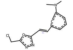 CN(C)c1cccc(/C=C/c2nnc(CCl)o2)c1